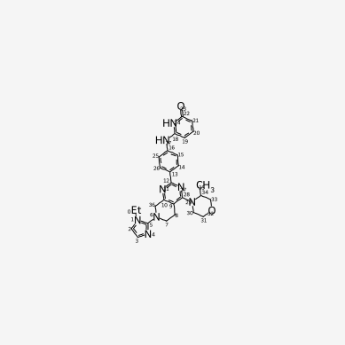 CCn1ccnc1N1CCc2c(nc(-c3ccc(Nc4cccc(=O)[nH]4)cc3)nc2N2CCOCC2C)C1